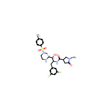 CCCCN1CC(C(=O)NC(Cc2cc(F)cc(F)c2)[C@H](O)[C@H]2CN(S(=O)(=O)c3ccc(C(F)(F)F)cc3)CCN2)CC1=O